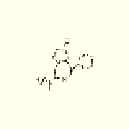 CNC1=NC=C(c2ccccc2)c2cc(Cl)ccc2C1